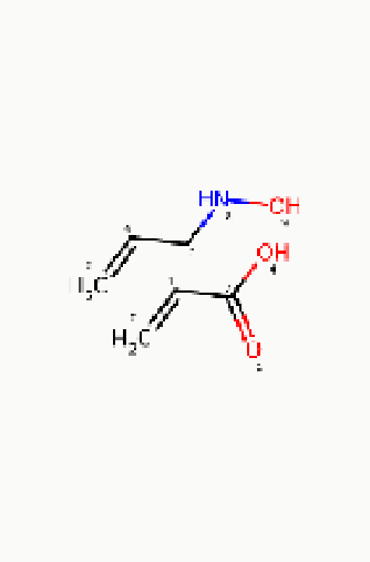 C=CC(=O)O.C=CCNO